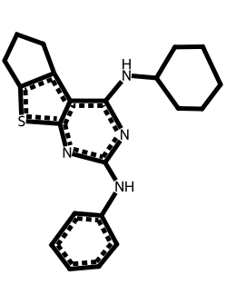 c1ccc(Nc2nc(NC3CCCCC3)c3c4c(sc3n2)CCC4)cc1